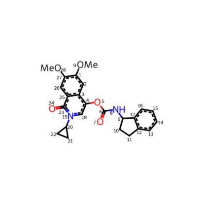 COc1cc2c(OC(=O)NC3CCc4ccccc43)cn(C3CC3)c(=O)c2cc1OC